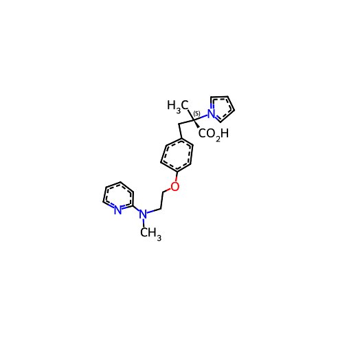 CN(CCOc1ccc(C[C@@](C)(C(=O)O)n2cccc2)cc1)c1ccccn1